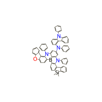 C[Si]1(C)c2ccccc2-c2c1ccc1c2N(c2ccccc2)c2cc(N(c3ccccc3)c3cccc4c3c3ccccc3n4-c3ccccc3)cc3c2B1c1ccc2oc4ccccc4c2c1N3c1ccccc1